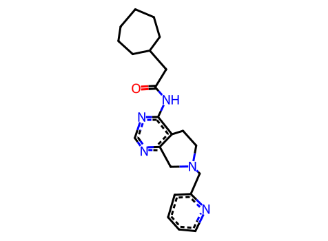 O=C(CC1CCCCCC1)Nc1ncnc2c1CCN(Cc1ccccn1)C2